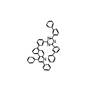 c1ccc(-c2cccc(-c3nc(-c4cccc(-c5ccccc5)c4)nc(-c4cccc(-c5cccc6c5ccc5nc(-c7ccccc7)cc(-c7ccccc7)c56)c4)n3)c2)cc1